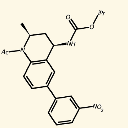 CC(=O)N1c2ccc(-c3cccc([N+](=O)[O-])c3)cc2[C@H](NC(=O)OC(C)C)C[C@@H]1C